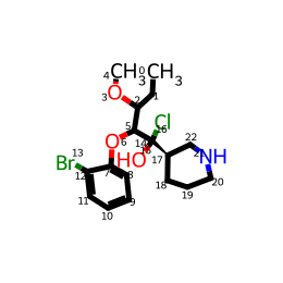 CCC(OC)C(Oc1ccccc1Br)C(O)(Cl)[C@@H]1CCCNC1